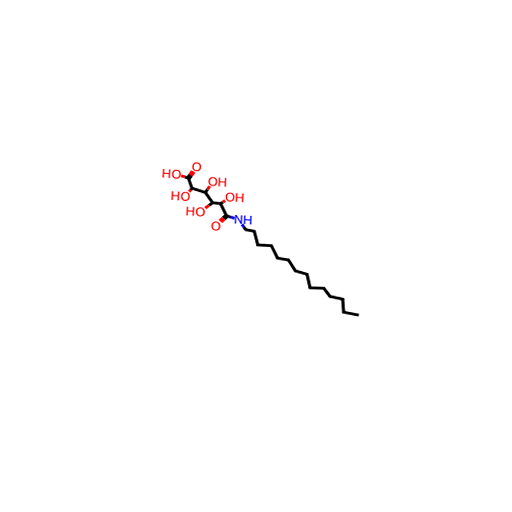 CCCCCCCCCCCCCCNC(=O)C(O)C(O)C(O)C(O)C(=O)O